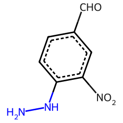 NNc1ccc(C=O)cc1[N+](=O)[O-]